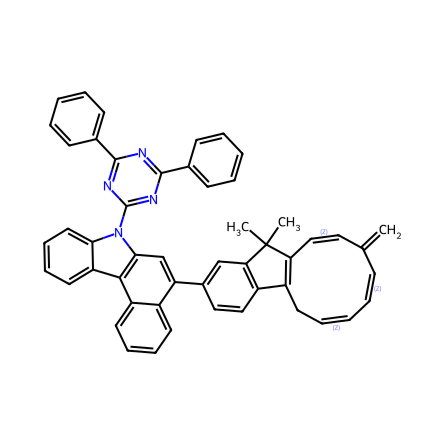 C=C1/C=C\C=C/CC2=C(/C=C\1)C(C)(C)c1cc(-c3cc4c(c5ccccc35)c3ccccc3n4-c3nc(-c4ccccc4)nc(-c4ccccc4)n3)ccc12